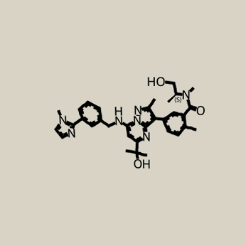 Cc1ccc(-c2c(C)nn3c(NCc4cccc(-c5nccn5C)c4)cc(C(C)(C)O)nc23)cc1C(=O)N(C)[C@@H](C)CO